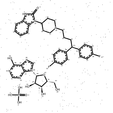 O=P(O)(O)O.O=c1[nH]c2ccccc2n1C1CCN(CCCC(c2ccc(F)cc2)c2ccc(F)cc2)CC1.OC[C@H]1O[C@@H](n2cnc3c(O)ncnc32)[C@H](O)[C@@H]1O